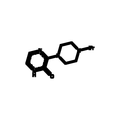 CC(C)N1CCN(c2ncc[nH]c2=O)CC1